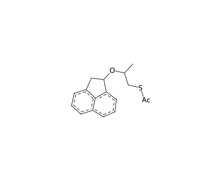 CC(=O)SCC(C)OC1Cc2cccc3cccc1c23